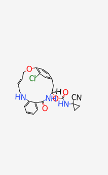 N#CC1(NC(=O)O[C@H]2Cc3ccc(c(Cl)c3)OC/C=C/CNc3ccccc3C(=O)N2)CC1